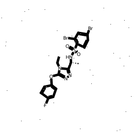 CCn1c(Oc2ccc(F)cc2)nnc1[C@@H](C)NS(=O)(=O)c1ccc(Br)cc1Br